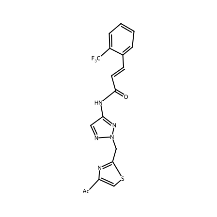 CC(=O)c1csc(Cn2ncc(NC(=O)C=Cc3ccccc3C(F)(F)F)n2)n1